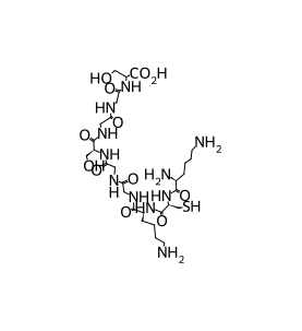 NCCCC[C@H](NC(=O)[C@H](CS)NC(=O)[C@@H](N)CCCCN)C(=O)NCC(=O)NCC(=O)N[C@@H](CO)C(=O)NCC(=O)NCC(=O)N[C@@H](CO)C(=O)O